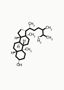 CC(C)C(C)CC[C@@H](C)[C@H]1CC[C@H]2[C@@H]3CC[C@H]4C[C@@H](O)CC[C@]4(C)[C@H]3CC[C@]12C